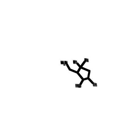 CCC1CC(CC)(CC)C(CN)C1O